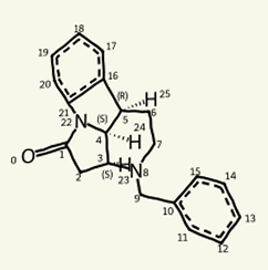 O=C1C[C@H]2[C@@H]3[C@H](CCN2Cc2ccccc2)c2ccccc2N13